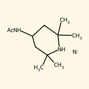 CC(=O)NC1CC(C)(C)NC(C)(C)C1.[N]